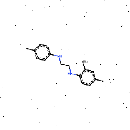 Cc1ccc(NCCNc2ccc(C)cc2C(C)(C)C)cc1